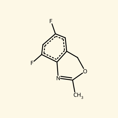 CC1=Nc2c(F)cc(F)cc2CO1